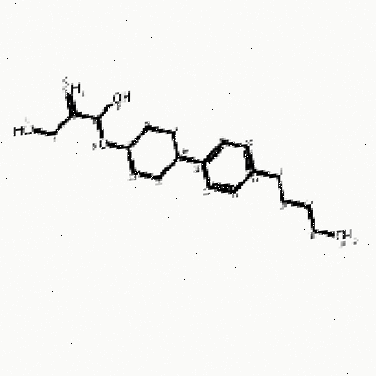 C=C(CO)C(O)OC1CCC(c2ccc(CCCCC)cc2)CC1